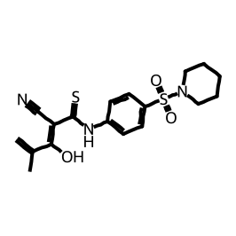 C=C(C)C(O)=C(C#N)C(=S)Nc1ccc(S(=O)(=O)N2CCCCC2)cc1